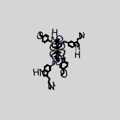 COc1ccc(CNS(=O)(=O)/C(=C/c2ccc3[nH]cc(CCN(C)C)c3c2)OC(=O)C(=O)ON(Cc2ccc(OC)cc2)S(=O)(=O)/C=C/c2ccc3[nH]cc(CCN(C)C)c3c2)cc1